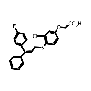 O=C(O)COc1ccc(SCC=C(c2ccccc2)c2ccc(F)cc2)c(Cl)c1